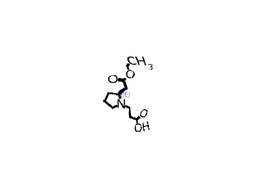 CCOC(=O)/C=C1\CCCN1CCC(=O)O